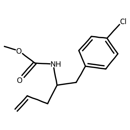 C=CCC(Cc1ccc(Cl)cc1)NC(=O)OC